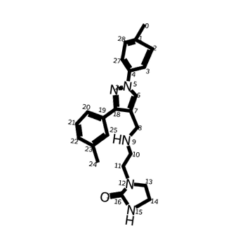 Cc1ccc(-n2cc(CNCCN3CCNC3=O)c(-c3cccc(C)c3)n2)cc1